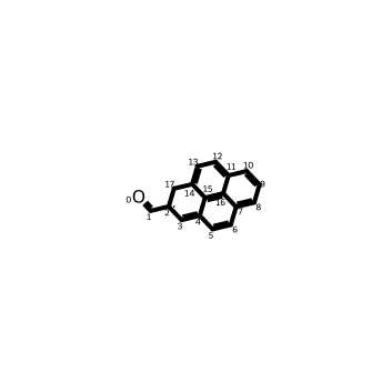 O=C[C]1C=c2ccc3cccc4ccc(c2c43)C1